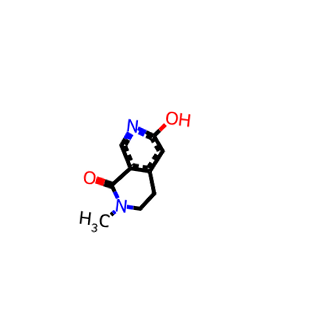 CN1CCc2cc(O)ncc2C1=O